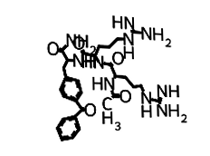 CC(=O)NC(CCCNC(=N)N)C(=O)NC(CCCNC(=N)N)C(=O)NC(Cc1ccc(C(=O)c2ccccc2)cc1)C(N)=O